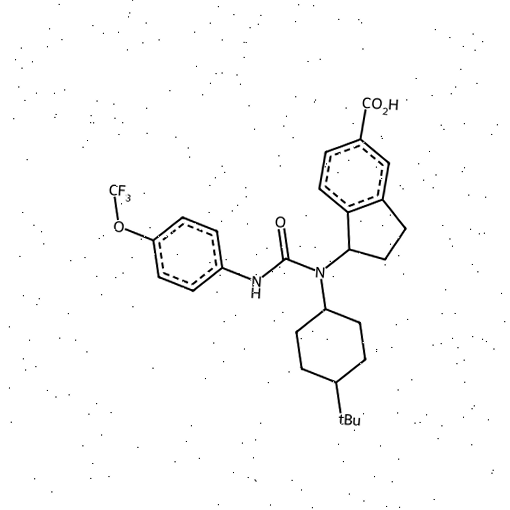 CC(C)(C)C1CCC(N(C(=O)Nc2ccc(OC(F)(F)F)cc2)C2CCc3cc(C(=O)O)ccc32)CC1